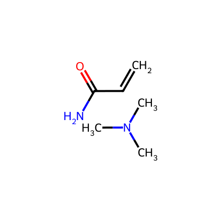 C=CC(N)=O.CN(C)C